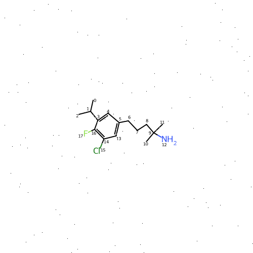 CC(C)c1cc(CCCC(C)(C)N)cc(Cl)c1F